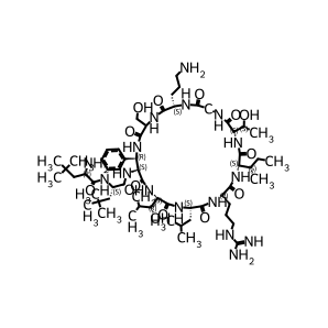 CC[C@H](C)[C@@H]1NC(=O)[C@@H](CCCNC(=N)N)NC(=O)[C@H](CC(C)C)NC(=O)[C@H]([C@H](O)C(C)C)NC(=O)[C@@H](NC(=O)[C@H](CC(C)(C)C)NC(=O)[C@H](N)CC(C)(C)C)[C@@H](c2ccccc2)NC(=O)C(CO)NC(=O)[C@H](CCCN)NC(=O)CNC(=O)[C@H]([C@H](C)O)NC1=O